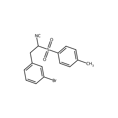 [C-]#[N+]C(Cc1cccc(Br)c1)S(=O)(=O)c1ccc(C)cc1